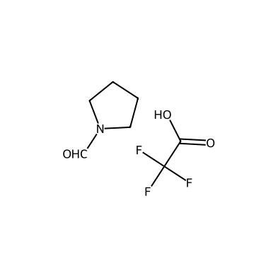 O=C(O)C(F)(F)F.O=CN1CCCC1